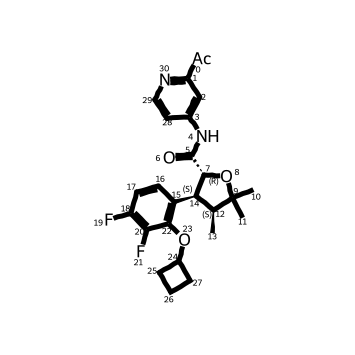 CC(=O)c1cc(NC(=O)[C@@H]2OC(C)(C)[C@@H](C)[C@H]2c2ccc(F)c(F)c2OC2CCC2)ccn1